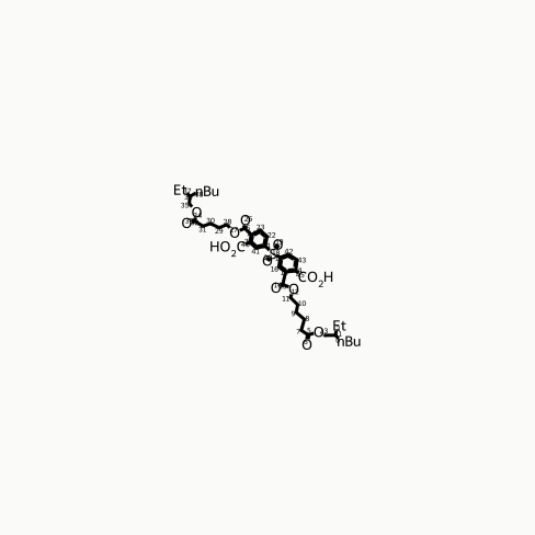 CCCCC(CC)COC(=O)CCCCCOC(=O)c1cc(S(=O)(=O)c2ccc(C(=O)OCCCCC(=O)OCC(CC)CCCC)c(C(=O)O)c2)ccc1C(=O)O